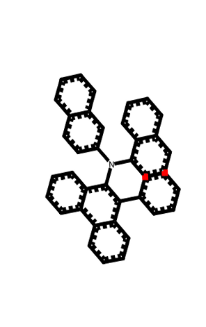 c1ccc(-c2c(N(c3ccc4ccccc4c3)c3cccc4ccccc34)c3ccccc3c3ccccc23)cc1